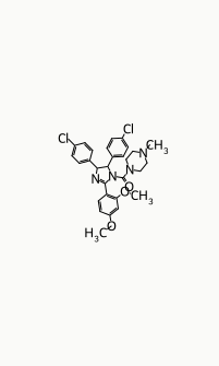 COc1ccc(C2=NC(c3ccc(Cl)cc3)C(c3ccc(Cl)cc3)N2C(=O)N2CCN(C)CC2)c(OC)c1